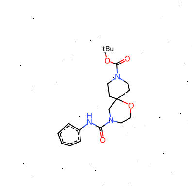 CC(C)(C)OC(=O)N1CCC2(CC1)CN(C(=O)Nc1ccccc1)CCO2